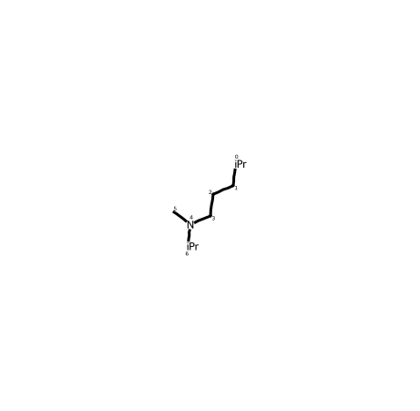 CC(C)CCCN(C)C(C)C